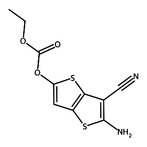 CCOC(=O)Oc1cc2sc(N)c(C#N)c2s1